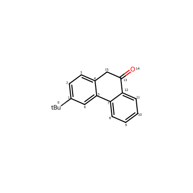 CC(C)(C)c1ccc2c(c1)-c1ccccc1C(=O)C2